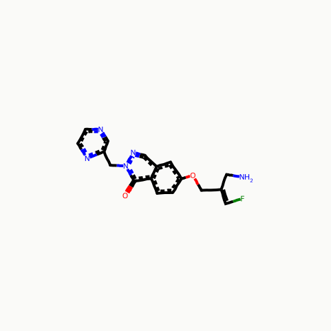 NC/C(=C\F)COc1ccc2c(=O)n(Cc3cnccn3)ncc2c1